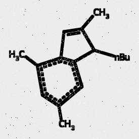 CCCCC1C(C)=Cc2c(C)cc(C)cc21